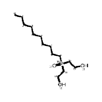 CCCCCCCCCCP(=O)(CCO)CCO